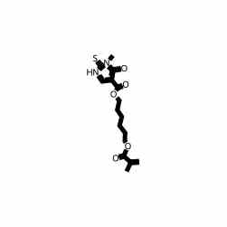 C=C(C)C(=O)OCCCCCCOC(=O)c1c[nH]c(=S)n(C)c1=O